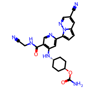 N#CCNC(=O)c1cnc(-c2ccc3cc(C#N)cnn23)cc1N[C@H]1CC[C@H](OC(N)=O)CC1